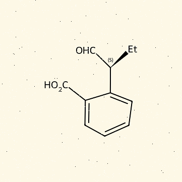 CC[C@H](C=O)c1ccccc1C(=O)O